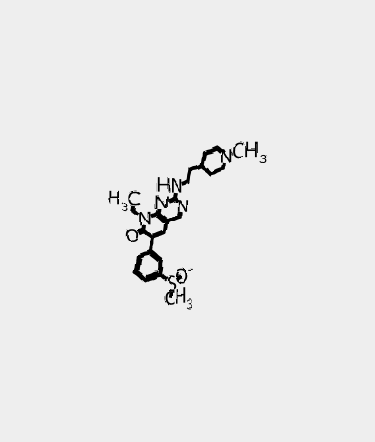 CCn1c(=O)c(-c2cccc([S+](C)[O-])c2)cc2cnc(NCCC3CCN(C)CC3)nc21